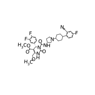 COCC1=C(C(=O)OC)[C@H](c2ccc(F)c(F)c2)N(C(=O)N[C@@H]2CCN(C3CCC(c4ccc(F)cc4C#N)CC3)C2)C(=O)N1